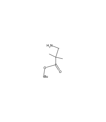 CC(C)(C)OC(=O)C(C)(C)[CH]N